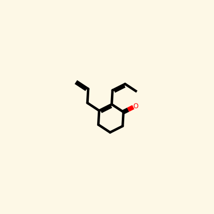 C=CCC1=C(/C=C\C)C(=O)CCC1